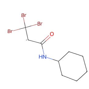 O=C([CH]C(Br)(Br)Br)NC1CCCCC1